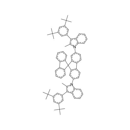 Cc1c(-c2cc(C(C)(C)C)cc(C(C)(C)C)c2)c2ccccc2n1-c1ccc2c(c1)C1(c3ccccc3-c3ccccc31)c1cc(-n3c(C)c(-c4cc(C(C)(C)C)cc(C(C)(C)C)c4)c4ccccc43)ccc1-2